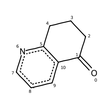 O=C1CCCc2nc[c]cc21